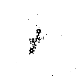 Cc1ccc(-c2nc(C(CNC(CCc3ccccc3)C(=O)O)C(=O)O)cs2)cc1